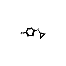 Fc1[c]cc(OC2CC2)cc1